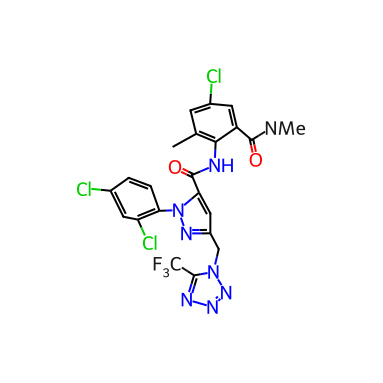 CNC(=O)c1cc(Cl)cc(C)c1NC(=O)c1cc(Cn2nnnc2C(F)(F)F)nn1-c1ccc(Cl)cc1Cl